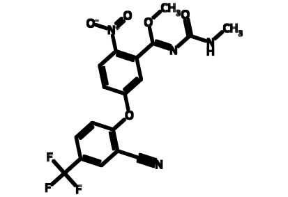 CNC(=O)N=C(OC)c1cc(Oc2ccc(C(F)(F)F)cc2C#N)ccc1[N+](=O)[O-]